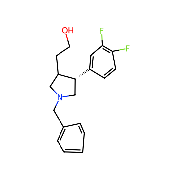 OCCC1CN(Cc2ccccc2)C[C@H]1c1ccc(F)c(F)c1